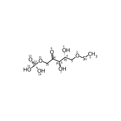 CSOC[C@@H](O)[C@@H](O)C(=O)COP(=O)(O)O